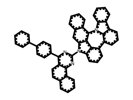 c1ccc(-c2ccc(-c3nc(-n4c5cccc6c7cccc8c9ccccc9n(c78)c7c8ccccc8cc4c7c65)nc4c3ccc3ccccc34)cc2)cc1